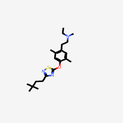 CCN(C)CCc1cc(C)c(Oc2nc(CCC(C)(C)C)ns2)cc1C